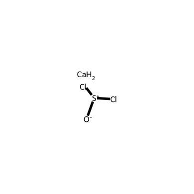 [CaH2].[O-][S+](Cl)Cl